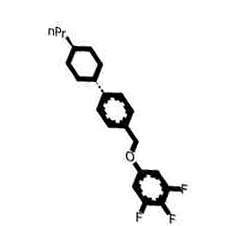 CCC[C@H]1CC[C@H](c2ccc(COc3cc(F)c(F)c(F)c3)cc2)CC1